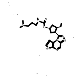 CC[C@@H]1C[C@H](OC(=O)N(C)CCCN(C)C)C[C@@H]1c1nnc2cnc3[nH]ccc3n12